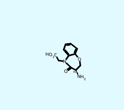 N[C@@H]1COc2ccccc2N(CC(=O)O)C1=O